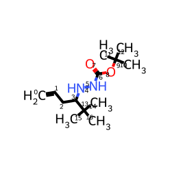 C=CCC(NNC(=O)OC(C)(C)C)C(C)(C)C